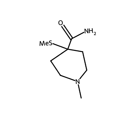 CSC1(C(N)=O)CCN(C)CC1